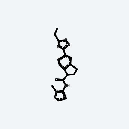 CCc1nc(-c2ccc3c(c2)CC[C@H]3C(=O)Nc2ccnn2C)no1